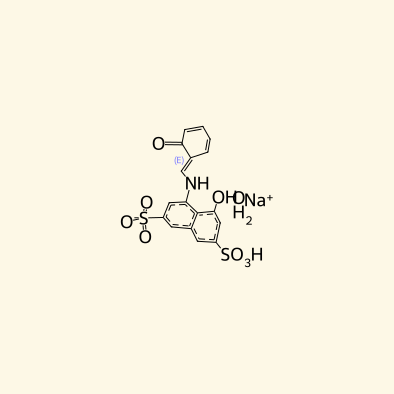 O.O=C1C=CC=C/C1=C\Nc1cc(S(=O)(=O)[O-])cc2cc(S(=O)(=O)O)cc(O)c12.[Na+]